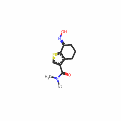 CCN(C)C(=O)c1csc2c1CCCC2=NO